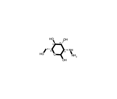 NN[C@@H]1C(O)O[C@H](CO)[C@@H](O)[C@@H]1O